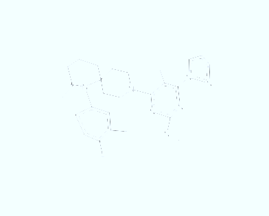 Nc1nc(N2CCC3(CCCC(=O)N3c3ccc(F)c(F)c3)CC2)c(F)c(-n2cccn2)n1